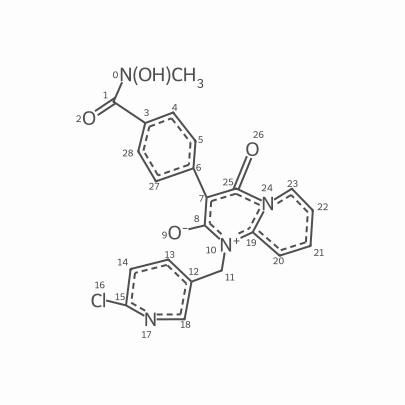 CN(O)C(=O)c1ccc(-c2c([O-])[n+](Cc3ccc(Cl)nc3)c3ccccn3c2=O)cc1